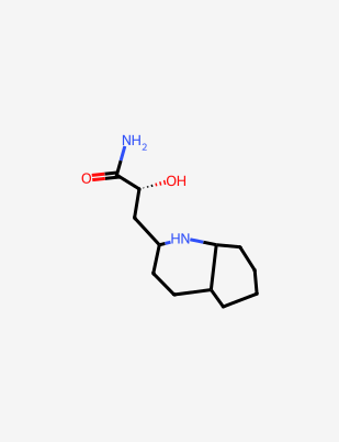 NC(=O)[C@H](O)CC1CCC2CCCCC2N1